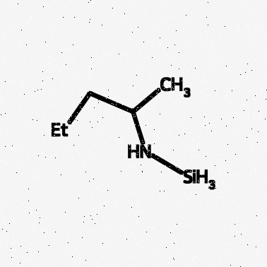 CCCC(C)N[SiH3]